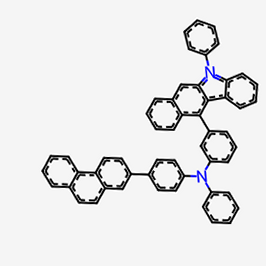 c1ccc(N(c2ccc(-c3ccc4c(ccc5ccccc54)c3)cc2)c2cccc(-c3c4ccccc4cc4c3c3ccccc3n4-c3ccccc3)c2)cc1